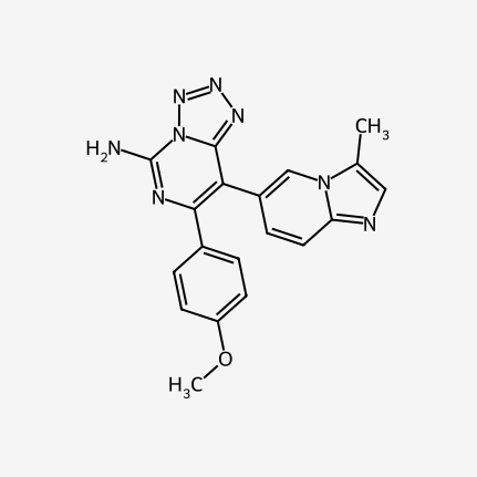 COc1ccc(-c2nc(N)n3nnnc3c2-c2ccc3ncc(C)n3c2)cc1